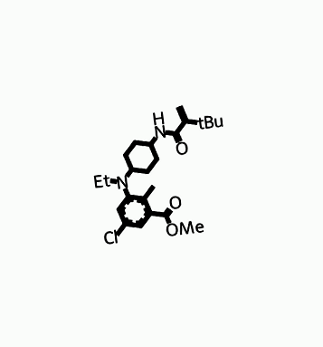 C=C(C(=O)NC1CCC(N(CC)c2cc(Cl)cc(C(=O)OC)c2C)CC1)C(C)(C)C